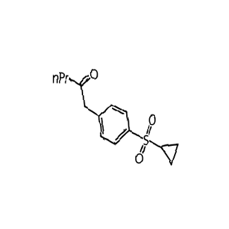 CCCC(=O)Cc1ccc(S(=O)(=O)C2CC2)cc1